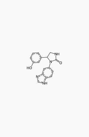 O=C1NCC(c2cccc(O)c2)N1c1ccc2[nH]cnc2c1